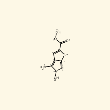 CCCCOC(=O)c1cc2c(N)n(O)nc2s1